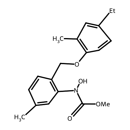 CCc1ccc(OCc2ccc(C)cc2N(O)C(=O)OC)c(C)c1